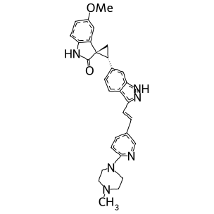 COc1ccc2c(c1)[C@@]1(C[C@@H]1c1ccc3c(C=Cc4ccc(N5CCN(C)CC5)nc4)n[nH]c3c1)C(=O)N2